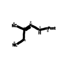 CCCCCNN=C(C#N)CC#N